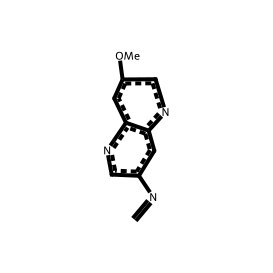 C=Nc1cnc2cc(OC)cnc2c1